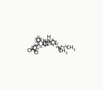 CCCCN(C)CCc1ccc(Nc2ncc3c(n2)-c2ccccc2C(c2ccc(Cl)c(Cl)c2)C3)cc1